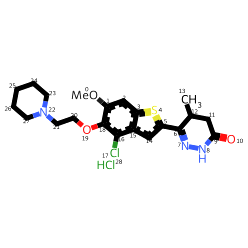 COc1cc2sc(C3=NNC(=O)CC3C)cc2c(Cl)c1OCCN1CCCCC1.Cl